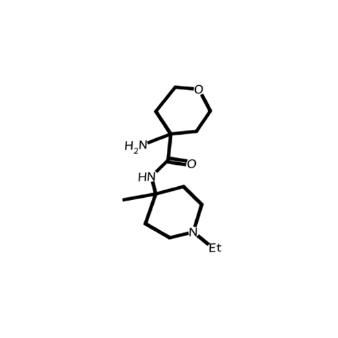 CCN1CCC(C)(NC(=O)C2(N)CCOCC2)CC1